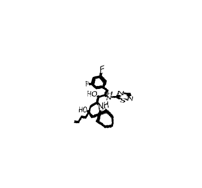 CCCCC1(O)CC(C(O)C(Cc2cc(F)cc(F)c2)Nc2ncns2)NC2(CCCCC2)C1